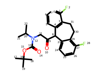 C=C(F)C1=C(/C=C\C)C(C(=O)CN(C(=O)OC(C)(C)C)C(C)C)c2cccc(F)c2CC1